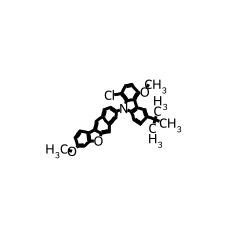 COc1ccc2c(c1)oc1cc3cc(-n4c5ccc(C(C)(C)C)cc5c5c(OC)ccc(Cl)c54)ccc3cc12